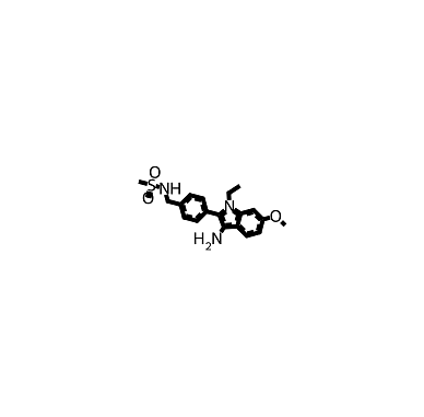 CCn1c(-c2ccc(CNS(C)(=O)=O)cc2)c(N)c2ccc(OC)cc21